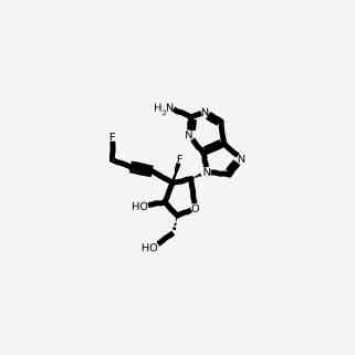 Nc1ncc2ncn([C@@H]3O[C@H](CO)C(O)[C@]3(F)C#CCF)c2n1